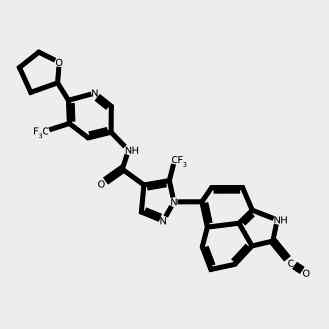 O=C=c1[nH]c2ccc(-n3ncc(C(=O)Nc4cnc(C5CCCO5)c(C(F)(F)F)c4)c3C(F)(F)F)c3cccc1c23